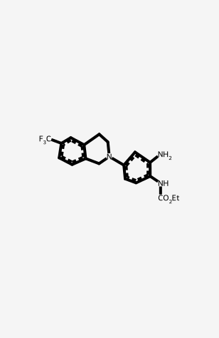 CCOC(=O)Nc1ccc(N2CCc3cc(C(F)(F)F)ccc3C2)cc1N